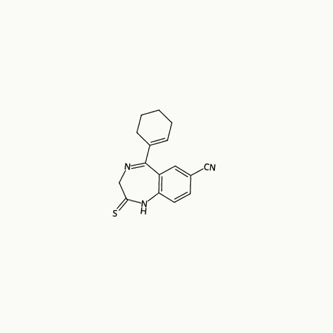 N#Cc1ccc2c(c1)C(C1=CCCCC1)=NCC(=S)N2